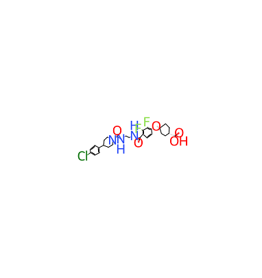 O=C(NCCNC(=O)N1CCC(c2ccc(Cl)cc2)CC1)c1ccc(O[C@H]2CC[C@@H](C(=O)O)CC2)c(F)c1F